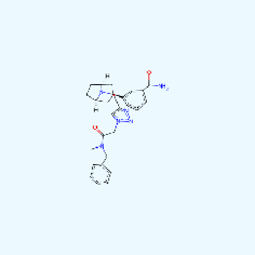 CN(Cc1ccccc1)C(=O)Cn1cc(CN2[C@@H]3CC[C@H]2C[C@@H](c2cccc(C(N)=O)c2)C3)nn1